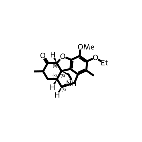 CCOc1c(C)c2c3c(c1OC)O[C@H]1C(=O)C(C)C[C@H]4[C@@H](C2)NCC[C@]314